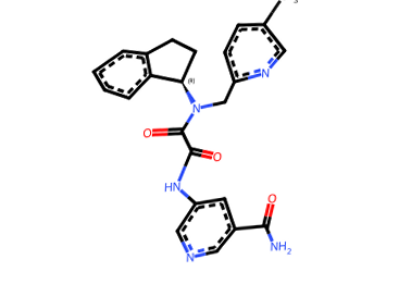 NC(=O)c1cncc(NC(=O)C(=O)N(Cc2ccc(C(F)(F)F)cn2)[C@@H]2CCc3ccccc32)c1